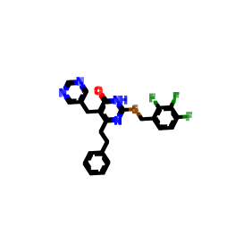 O=c1[nH]c(SCc2ccc(F)c(F)c2F)nc(CCc2ccccc2)c1Cc1cncnc1